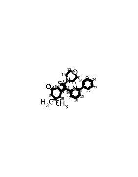 CC1(C)CC(=O)c2sc(N3CCOCC3)c(-c3cccc(-c4ccccc4)n3)c2C1